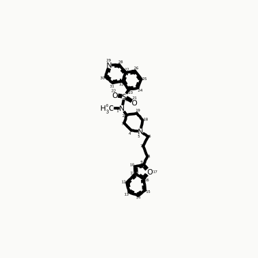 CN(C1CCN(CCCc2cc3ccccc3o2)CC1)S(=O)(=O)c1cccc2cnccc12